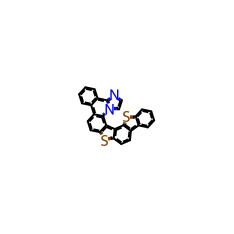 c1ccc2c(c1)sc1c2ccc2sc3ccc4c5ccccc5c5nccn5c4c3c21